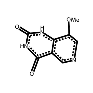 COc1cncc2c(=O)[nH]c(=O)[nH]c12